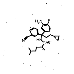 CC(C)CCC(C)[S+]([O-])NC(CCC1CC1)(c1cccc(C#N)c1)c1ccc(F)c(N)c1